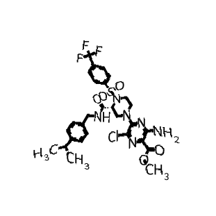 COC(=O)c1nc(Cl)c(N2CCN(S(=O)(=O)c3ccc(C(F)(F)F)cc3)[C@@H](C(=O)NCc3ccc(C(C)C)cc3)C2)nc1N